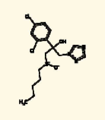 CCCCC[S+]([O-])CC(O)(Cn1cncn1)c1ccc(Cl)cc1Cl